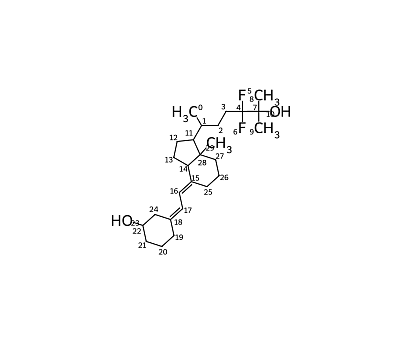 CC(CCC(F)(F)C(C)(C)O)C1CCC2/C(=C/C=C3/CCCC(O)C3)CCCC21C